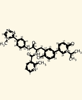 Cc1ncccc1C(=O)NC(Cc1cc(-c2ccc(=O)n(C(C)C)c2)ccc1Cl)C(=O)Nc1ccc(-c2nncn2C)cc1